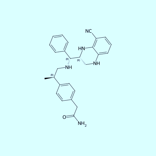 C[C@@H](CN[C@H](c1ccccc1)[C@H]1CNc2cccc(C#N)c2N1)c1ccc(CC(N)=O)cc1